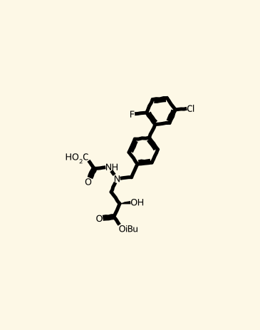 CC(C)COC(=O)[C@H](O)CN(Cc1ccc(-c2cc(Cl)ccc2F)cc1)NC(=O)C(=O)O